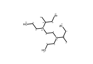 CC(C)CC(C)N(CCO)CCN(CCO)C(C)CC(C)C